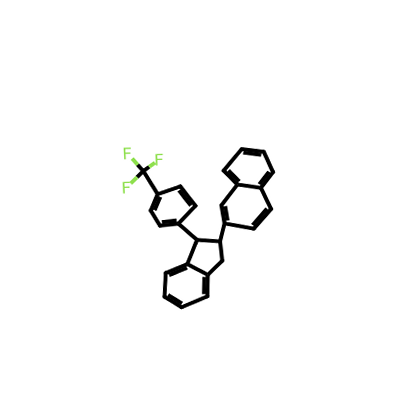 FC(F)(F)c1ccc([C]2c3ccccc3CC2c2ccc3ccccc3c2)cc1